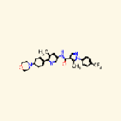 Cc1cc(NC(=O)c2cnn(-c3ccc(C(F)(F)F)cc3)c2C)cnc1C1=CCC(N2CCOCC2)CC1